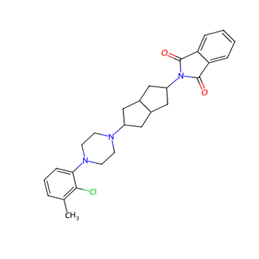 Cc1cccc(N2CCN(C3CC4CC(N5C(=O)c6ccccc6C5=O)CC4C3)CC2)c1Cl